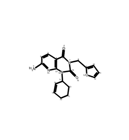 Nc1ccc2c(=O)n(Cc3ccco3)c(=O)n(C3C=CCCC3)c2n1